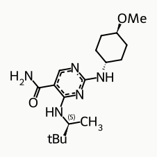 CO[C@H]1CC[C@H](Nc2ncc(C(N)=O)c(N[C@@H](C)C(C)(C)C)n2)CC1